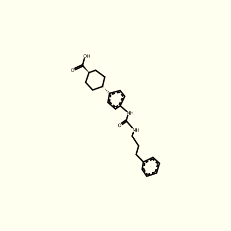 O=C(NCCCc1ccccc1)Nc1ccc([C@H]2CC[C@H](C(=O)O)CC2)cc1